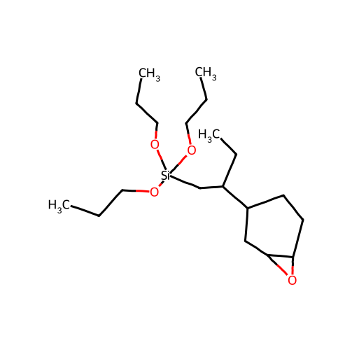 CCCO[Si](CC(CC)C1CCC2OC2C1)(OCCC)OCCC